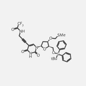 CSCO[C@@H]1C[C@H](n2cc(C#CCNC(=O)C(F)(F)F)c(=O)[nH]c2=O)O[C@@H]1CO[Si](c1ccccc1)(c1ccccc1)C(C)(C)C